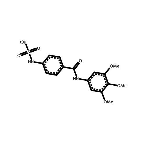 COc1cc(NC(=O)c2ccc(NS(=O)(=O)C(C)(C)C)cc2)cc(OC)c1OC